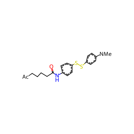 CNc1ccc(SSc2ccc(NC(=O)CCCCC(C)=O)cc2)cc1